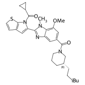 CCC(C)CC[C@@H]1CCCN(C(=O)c2cc(OC)c3c(c2)nc(-c2cc4ccsc4n2C(=O)C2CC2)n3C)C1